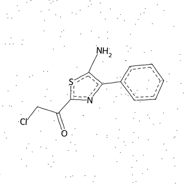 Nc1sc(C(=O)CCl)nc1-c1ccccc1